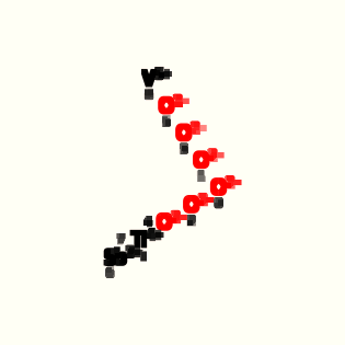 [O-2].[O-2].[O-2].[O-2].[O-2].[O-2].[Sb+3].[Ti+4].[V+5]